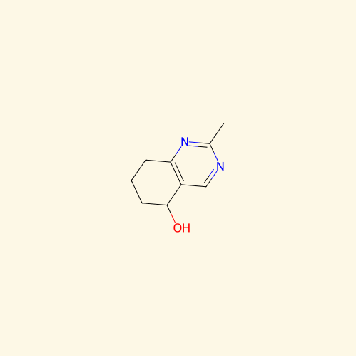 Cc1ncc2c(n1)CCCC2O